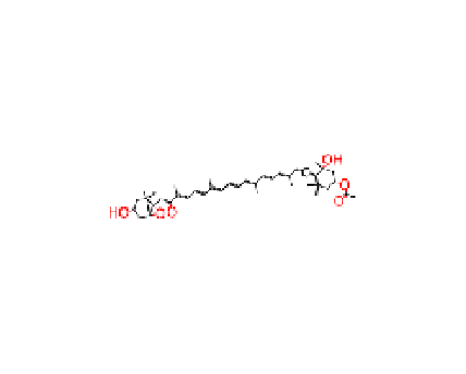 CC(=O)O[C@H]1CC(C)(C)C(=C=C/C(C)=C/C=C/C(C)=C/C=C/C=C(C)/C=C/C=C(\C)C(=O)C[C@@]23O[C@]2(C)C[C@@H](O)CC3(C)C)C(C)(O)C1